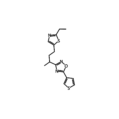 CCc1ncc(CCC(C)c2noc(-c3ccsc3)n2)s1